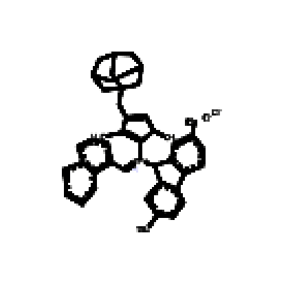 CC1=[C](/[Zr+2](=[CH]\c2cccc3ccccc23)[CH]2c3cc(C(C)(C)C)ccc3-c3ccc(C(C)(C)C)cc32)C(C)C=C1CC12CC3CC(CC(C3)C1)C2.[Cl-].[Cl-]